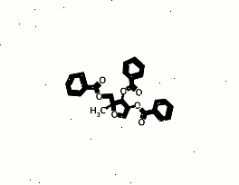 C[C@]1(COC(=O)c2ccccc2)OC[C@H](OC(=O)c2ccccc2)[C@@H]1OC(=O)c1ccccc1